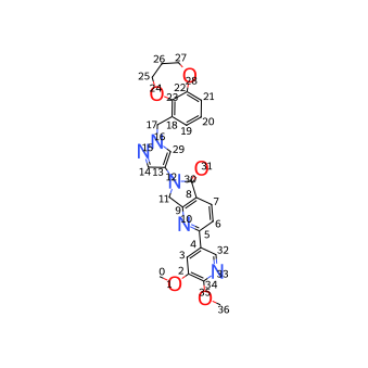 COc1cc(-c2ccc3c(n2)CN(c2cnn(Cc4cccc5c4OCCCO5)c2)C3=O)cnc1OC